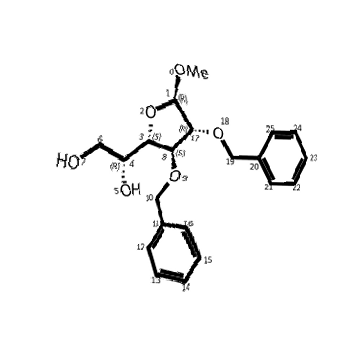 CO[C@@H]1O[C@@H]([C@H](O)CO)[C@H](OCc2ccccc2)[C@H]1OCc1ccccc1